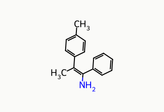 CC(=C(N)c1ccccc1)c1ccc(C)cc1